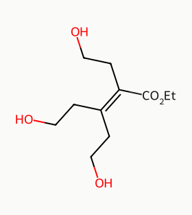 CCOC(=O)C(CCO)=C(CCO)CCO